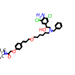 CN(C)C(=O)COc1ccc(C=CCOCCCCCCN(Cc2ccccc2)CC(O)c2cc(Cl)c(N)c(Cl)c2)cc1